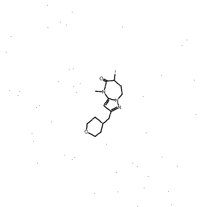 CN1C(=O)C(I)CCn2nc(CC3CCOCC3)cc21